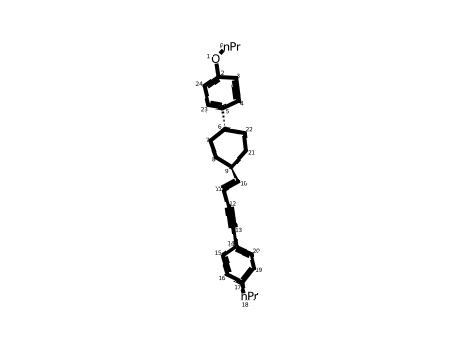 CCCOc1ccc([C@H]2CC[C@H](C=CC#Cc3ccc(CCC)cc3)CC2)cc1